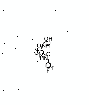 O=C(O)CNC(=O)c1cc(C(=O)NCc2ccc(F)c(F)c2)nc2ccnn12